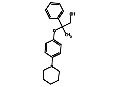 CC(CO)(Oc1ccc(N2CCCCC2)cc1)c1ccccc1